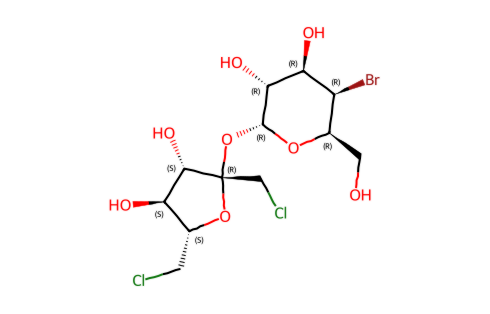 OC[C@H]1O[C@H](O[C@]2(CCl)O[C@H](CCl)[C@@H](O)[C@@H]2O)[C@H](O)[C@@H](O)[C@H]1Br